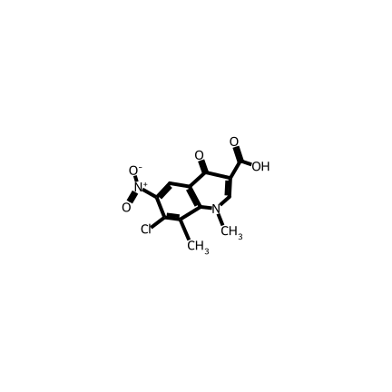 Cc1c(Cl)c([N+](=O)[O-])cc2c(=O)c(C(=O)O)cn(C)c12